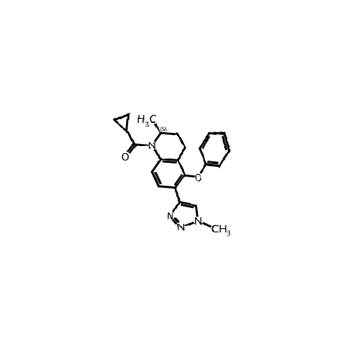 C[C@H]1CCc2c(ccc(-c3cn(C)nn3)c2Oc2ccccc2)N1C(=O)C1CC1